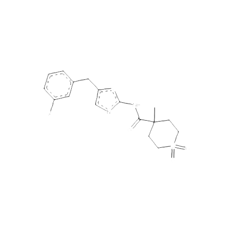 CC1(C(=O)Nc2ncc(Cc3cccc(F)c3)s2)CCS(=O)(=O)CC1